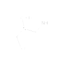 CCCCN(CN)C(=O)O